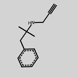 C#CCNC(C)(C)Cc1ccccc1